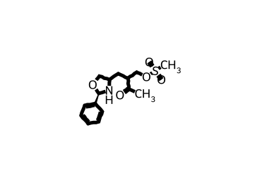 CC(=O)C(COS(C)(=O)=O)CC1CO[C@H](c2ccccc2)N1